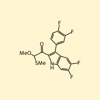 COC(SC)C(=O)c1[nH]c2cc(F)c(F)cc2c1-c1ccc(F)c(F)c1